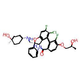 C[C@H](O)COc1ccc(C(N)=O)c(-c2c(Cl)c(F)cc3c2C[C@@](CN[C@H]2CC[C@](C)(O)CC2)(c2ccccc2)O3)c1F